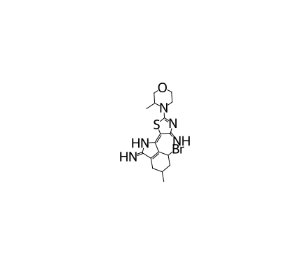 CC1CC2=C(C(=C3SC(N4CCOCC4C)=NC3=N)NC2=N)C(Br)C1